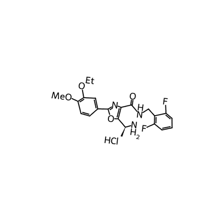 CCOc1cc(-c2nc(C(=O)NCc3c(F)cccc3F)c([C@H](C)N)o2)ccc1OC.Cl